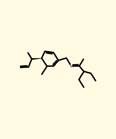 C=CC(C)[C@H]1C=CC(C/N=C(\C)C(CC)CC)=CC1C